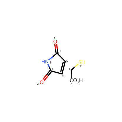 O=C(O)CS.O=C1C=CC(=O)N1